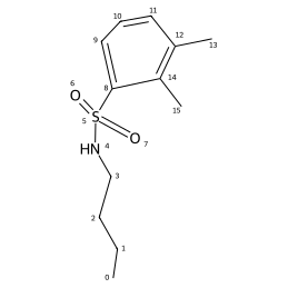 CCCCNS(=O)(=O)c1cccc(C)c1C